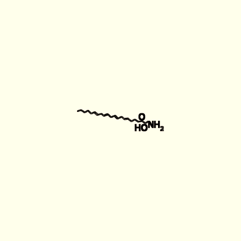 CCCCCC=CCC=CCC=CCC=CCCCC(=O)C(O)CN